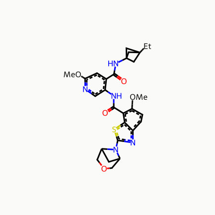 CCC12CC(NC(=O)c3cc(OC)ncc3NC(=O)c3c(OC)ccc4nc(N5C6COCC5C6)sc34)(C1)C2